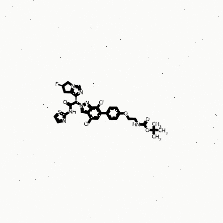 CC(C)(C)OC(=O)NCCOc1ccc(-c2cc(Cl)c3cn([C@@H](C(=O)Nc4nccs4)c4ncn5c4C[C@@H](F)C5)nc3c2Cl)cc1